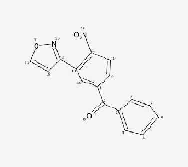 O=C(c1ccccc1)c1ccc([N+](=O)[O-])c(-c2ccon2)c1